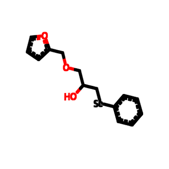 OC(COCc1ccco1)C[Se]c1ccccc1